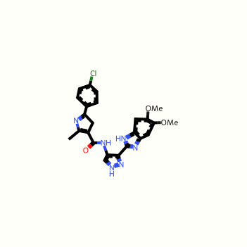 COc1cc2nc(-c3n[nH]cc3NC(=O)C3=C(C)N=C(c4ccc(Cl)cc4)C3)[nH]c2cc1OC